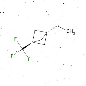 CC[C@]12C[C@@](C(F)(F)F)(C1)C2